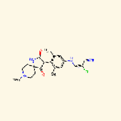 CON1CCC2(CC1)NC(=O)C(c1c(C)cc(N/C=C(/Cl)C=N)cc1C)C2=O